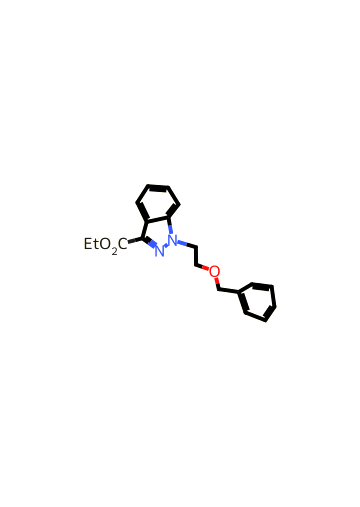 CCOC(=O)c1nn(CCOCc2ccccc2)c2ccccc12